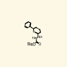 COC(=O)NNC1=NC(c2ccccc2)CCC1